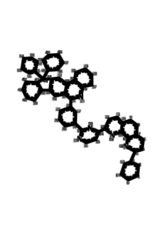 c1ccc(-c2ccc3ccc4ccc(-c5ccnc(-c6cccc(-c7nc8ccccc8c8cc9c(cc78)-c7ccccc7C9(c7ccccc7)c7ccccc7)c6)n5)nc4c3n2)cc1